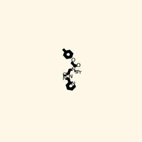 Cc1ccc(OCC(=O)N(Cc2nc(-c3ccccn3)no2)C(C)C)cc1